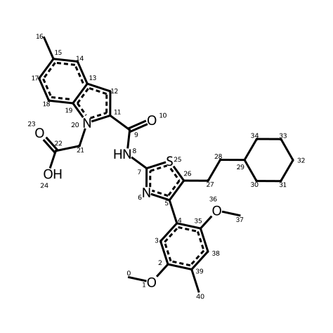 COc1cc(-c2nc(NC(=O)c3cc4cc(C)ccc4n3CC(=O)O)sc2CCC2CCCCC2)c(OC)cc1C